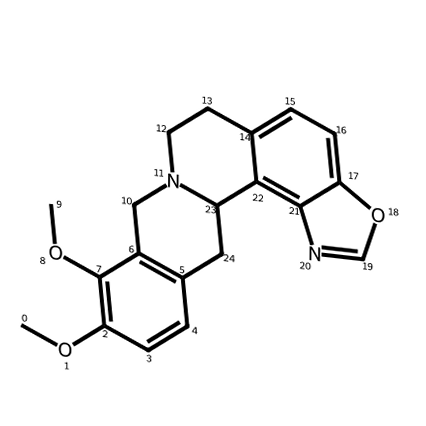 COc1ccc2c(c1OC)CN1CCc3ccc4ocnc4c3C1C2